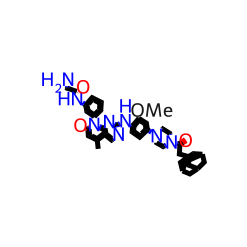 COc1cc(N2CCN(C(=O)CC34CC5CC(CC(C5)C3)C4)CC2)ccc1Nc1ncc2c(C)cc(=O)n(-c3cccc(NC(=O)CN)c3)c2n1